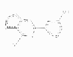 Oc1cccc(-c2nc(Br)c3sccc3n2)c1